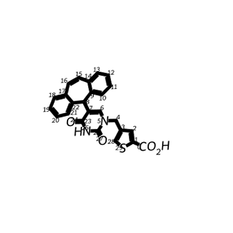 O=C(O)c1cc(Cn2cc(C3c4ccccc4C=Cc4ccccc43)c(=O)[nH]c2=O)cs1